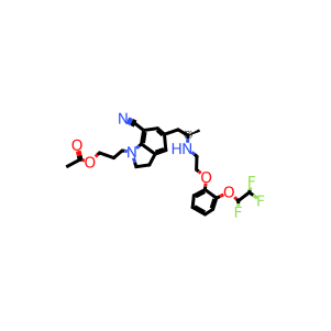 CC(=O)OCCCN1CCc2cc(C[C@@H](C)NCCOc3ccccc3OC(F)C(F)F)cc(C#N)c21